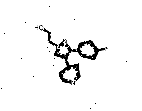 OCCn1cc(-c2ccncc2)c(-c2ccc(F)cc2)n1